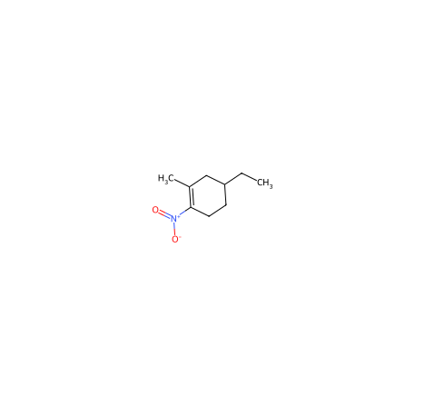 CCC1CCC([N+](=O)[O-])=C(C)C1